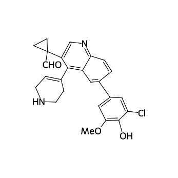 COc1cc(-c2ccc3ncc(C4(C=O)CC4)c(C4=CCNCC4)c3c2)cc(Cl)c1O